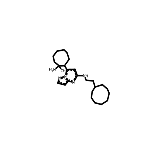 CC1(N)CCCCCCC1c1cc(NCCC2CCCCCCCC2)nc2ccnn12